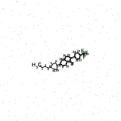 CCCCC1CCC(c2ccc3c(F)c(-c4ccc(C(F)(F)F)cc4)ccc3c2)CC1